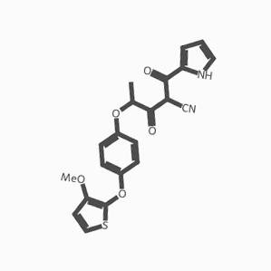 COc1ccsc1Oc1ccc(OC(C)C(=O)C(C#N)C(=O)c2ccc[nH]2)cc1